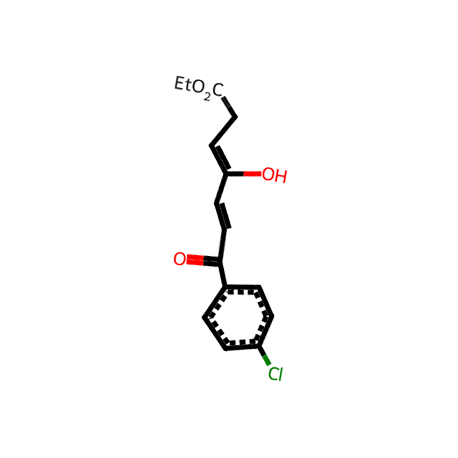 CCOC(=O)CC=C(O)C=CC(=O)c1ccc(Cl)cc1